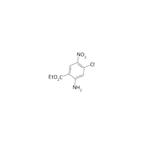 CCOC(=O)c1cc([N+](=O)[O-])c(Cl)cc1N